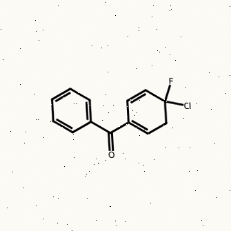 O=C(C1=CCC(F)(Cl)C=C1)c1ccccc1